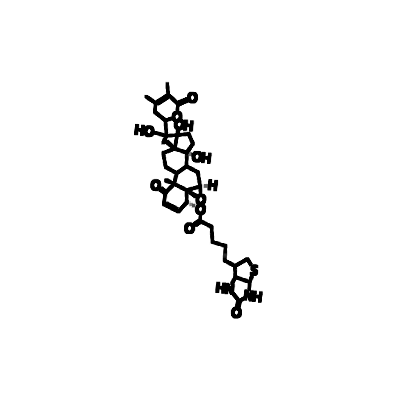 CC1=C(C)C(=O)OC(C(C)(O)[C@]2(O)CC[C@@]3(O)C4C[C@H]5O[C@]56[C@H](OC(=O)CCCCC5CSC7NC(=O)NC57)C=CC(=O)[C@]6(C)C4CC[C@@]32C)C1